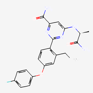 COCc1cc(Oc2ccc(F)cc2)ccc1-c1nc(N[C@@H](C)C(N)=O)cc(C(N)=O)n1